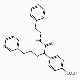 O=C(O)c1ccc(C(NCCc2cccnc2)C(=O)NCCc2ccncc2)cc1